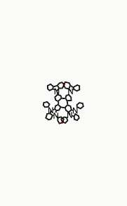 c1ccc(-n2c3ccccc3n(-c3ccccc3)c3cc4c(cc32)c2ccc(-n3c5ccccc5c5ccccc53)cc2c2cc(-n3c5ccccc5c5ccccc53)ccc2c2cc3c(cc24)n(-c2ccccc2)c2ccccc2n3-c2ccccc2)cc1